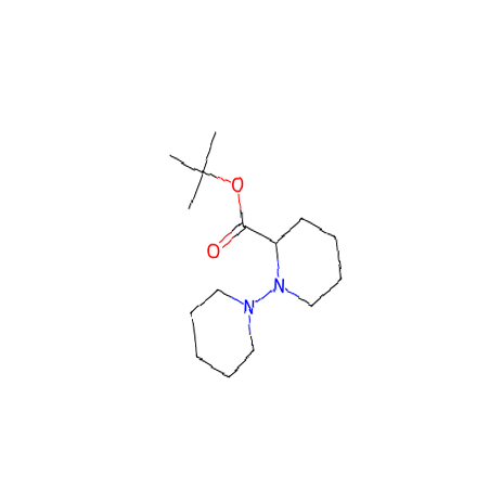 CC(C)(C)OC(=O)C1CCCCN1N1CCCCC1